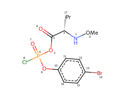 CON[C@H](C(=O)OP(=O)(Cl)Oc1ccc(Br)cc1)C(C)C